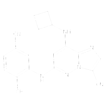 Cc1ccc(C#N)cc1Nc1cc(NC2CCC2)c2ncc(C#N)n2n1